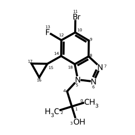 CC(C)(O)Cn1nnc2cc(Br)c(F)c(C3CC3)c21